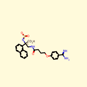 N=C(N)c1ccc(OCCCC(=O)NC[C@](N=S(=O)=O)(C(=O)O)c2cccc3ccccc23)cc1